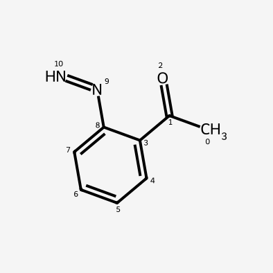 CC(=O)c1ccccc1N=N